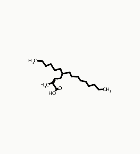 CCCCCCCCCC(CC=C(C)C(=O)O)CCCCCC